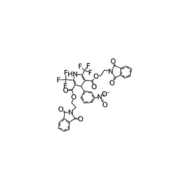 O=C(OCCN1C(=O)c2ccccc2C1=O)C1=C(C(F)(F)F)NC(C(F)(F)F)=C(C(=O)OCCN2C(=O)c3ccccc3C2=O)C1c1cccc([N+](=O)[O-])c1